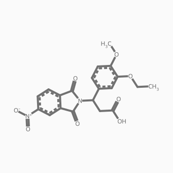 CCOc1cc(C(CC(=O)O)N2C(=O)c3ccc([N+](=O)[O-])cc3C2=O)ccc1OC